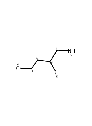 [NH]CC(Cl)CCCl